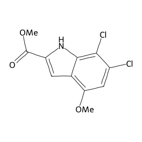 COC(=O)c1cc2c(OC)cc(Cl)c(Cl)c2[nH]1